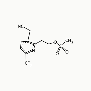 CS(=O)(=O)OCCc1nc(C(F)(F)F)ccc1CC#N